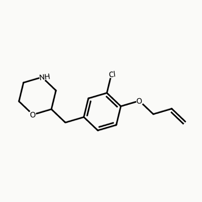 C=CCOc1ccc(CC2CNCCO2)cc1Cl